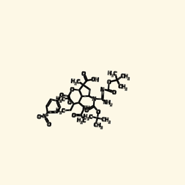 CCC(CC)C(NC(C)=O)C1C(N(C(=O)OC(C)(C)C)C(N)=NC(=O)OC(C)(C)C)CC(C)(C(=O)O)C1OC(=O)Oc1ccc([N+](=O)[O-])cc1